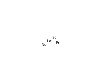 [La].[Nd].[Pr].[Sc]